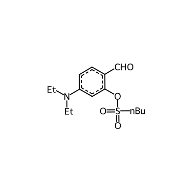 CCCCS(=O)(=O)Oc1cc(N(CC)CC)ccc1C=O